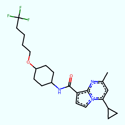 Cc1cc(C2CC2)n2ccc(C(=O)NC3CCC(OCCCCC(F)(F)F)CC3)c2n1